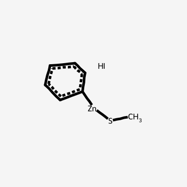 C[S][Zn][c]1ccccc1.I